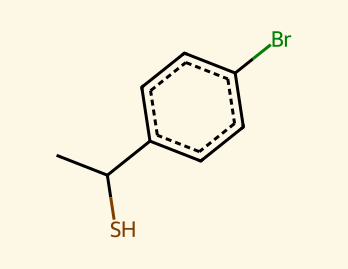 CC(S)c1ccc(Br)cc1